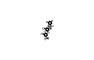 O=[N+]([O-])c1ccc(Oc2c(Cl)cc(S(=O)(=O)Nc3cc(F)cc(F)c3)cc2Cl)c(Cl)c1